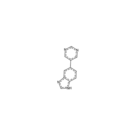 c1ncc(-c2ccc3[nH]cnc3c2)cn1